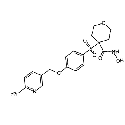 CCCc1ccc(COc2ccc(S(=O)(=O)C3(C(=O)NO)CCOCC3)cc2)cn1